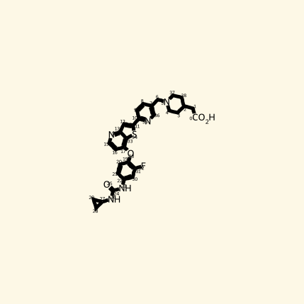 O=C(O)CC1CCN(Cc2ccc(-c3cc4nccc(Oc5ccc(NC(=O)NC6CC6)cc5F)c4s3)nc2)CC1